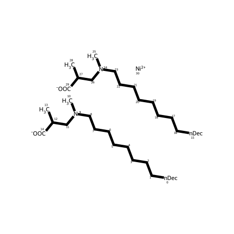 CCCCCCCCCCCCCCCCCCN(C)CC(C)C(=O)[O-].CCCCCCCCCCCCCCCCCCN(C)CC(C)C(=O)[O-].[Ni+2]